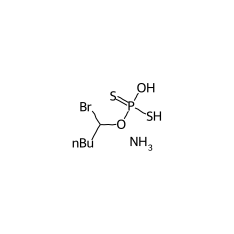 CCCCC(Br)OP(O)(=S)S.N